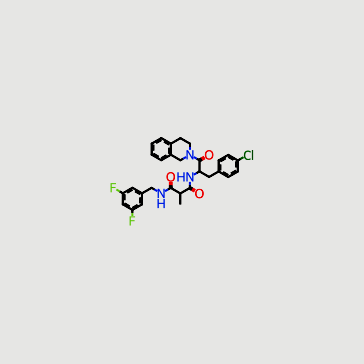 CC(C(=O)NCc1cc(F)cc(F)c1)C(=O)NC(Cc1ccc(Cl)cc1)C(=O)N1CCc2ccccc2C1